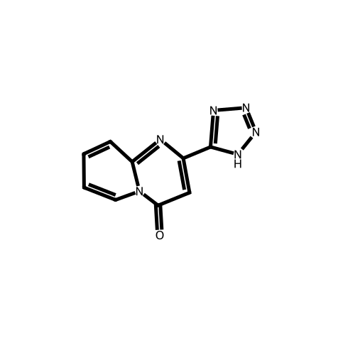 O=c1cc(-c2nnn[nH]2)nc2ccccn12